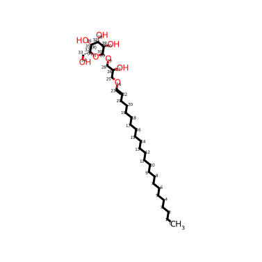 CCCCCCCCCCCCCCCCCCCCCCC=COCC(O)CO[C@@H]1O[C@H](CO)[C@H](O)[C@H](O)[C@H]1O